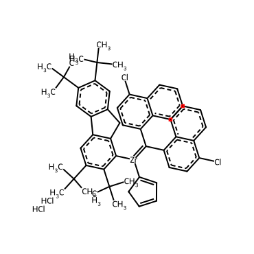 CC(C)(C)c1cc2c(cc1C(C)(C)C)-c1cc(C(C)(C)C)c(C(C)(C)C)[c]([Zr]([C]3=CC=CC3)=[C](c3ccc(Cl)c4ccccc34)c3ccc(Cl)c4ccccc34)c1C2.Cl.Cl